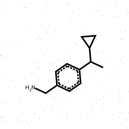 CC(c1ccc(CN)cc1)C1CC1